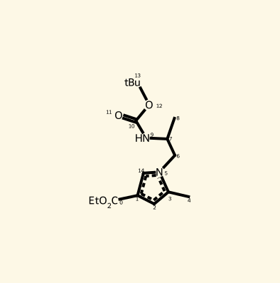 CCOC(=O)c1cc(C)n(CC(C)NC(=O)OC(C)(C)C)c1